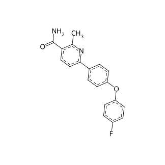 Cc1nc(-c2ccc(Oc3ccc(F)cc3)cc2)ccc1C(N)=O